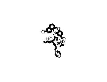 CC/C=C/[C@](O)(C#CCCN1CCOCC1)[C@@H]1CC[C@H]1CN1C[C@@]2(CCCc3cc(Cl)ccc32)COc2ccc(C(=O)NS(=O)(=O)C(C)C)cc21